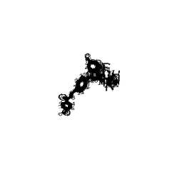 COc1ccc(C(=O)/C=C/c2ccc(OCC(O)(Cn3cncn3)c3ccc(F)cc3F)cc2)cc1